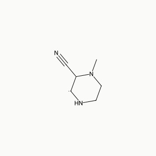 CN1CCN[CH]C1C#N